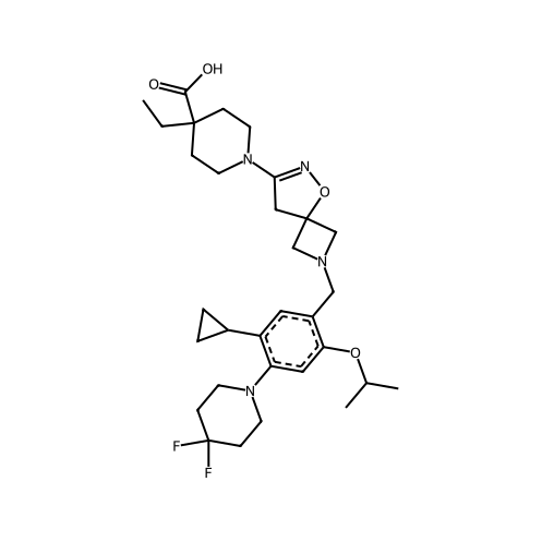 CCC1(C(=O)O)CCN(C2=NOC3(C2)CN(Cc2cc(C4CC4)c(N4CCC(F)(F)CC4)cc2OC(C)C)C3)CC1